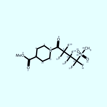 COC(=O)C1CCN(C(=O)C(F)(F)C(F)(F)C(F)(F)S(C)(=O)=O)CC1